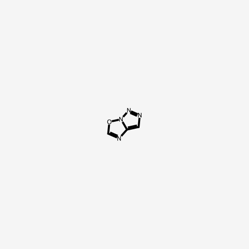 c1nc2cnnn2o1